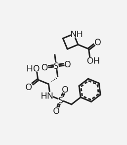 CS(=O)(=O)C[C@H](NS(=O)(=O)Cc1ccccc1)C(=O)O.O=C(O)C1CCN1